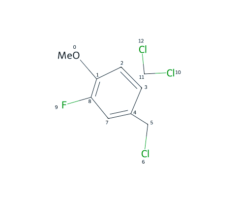 COc1ccc(CCl)cc1F.ClCCl